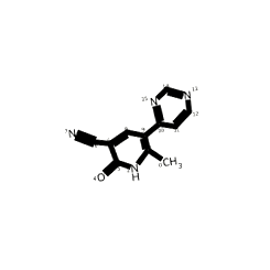 Cc1[nH]c(=O)c(C#N)cc1-c1ccncn1